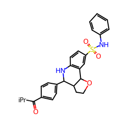 CC(C)C(=O)c1ccc(C2Nc3ccc(S(=O)(=O)Nc4ccccc4)cc3C3OCCC23)cc1